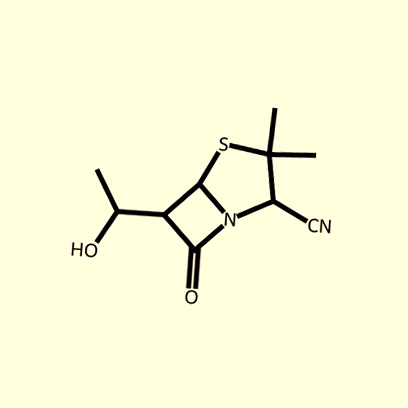 CC(O)C1C(=O)N2C1SC(C)(C)C2C#N